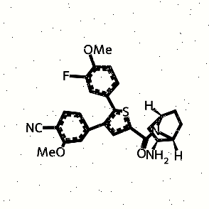 COc1ccc(-c2sc(C(=O)N3[C@H]4CC[C@@H]3[C@@H](N)C4)cc2-c2ccc(C#N)c(OC)c2)cc1F